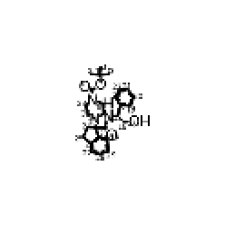 CC(C)(C)OC(=O)N1CCN([C@]2(C(=O)N[C@H](CO)c3ccccc3)CCc3ccccc32)CC1